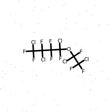 FC(F)(Cl)C(F)(Cl)OC(F)(Cl)C(F)(F)C(F)(Cl)C(F)(F)Cl